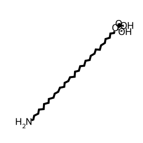 NCCCCCCCCCCCCCCCCCCCCCCCCCCCCCCCCCOP(=O)(O)O